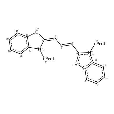 CCCCCN1C(=CC=Cc2oc3ccccc3[n+]2CCCCC)Oc2ccccc21